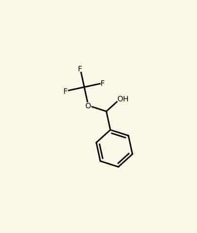 OC(OC(F)(F)F)c1ccccc1